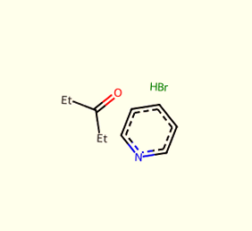 Br.CCC(=O)CC.c1ccncc1